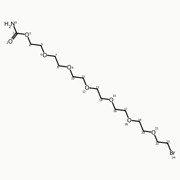 NC(=O)OCCOCCOCCOCCOCCOCCOCCBr